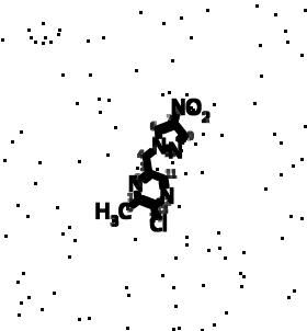 Cc1nc(Cn2cc([N+](=O)[O-])cn2)cnc1Cl